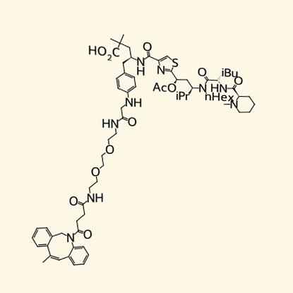 CCCCCCN(C(=O)[C@@H](NC(=O)[C@H]1CCCCN1C)[C@@H](C)CC)[C@H](C[C@@H](OC(C)=O)c1nc(C(=O)N[C@@H](Cc2ccc(NCC(=O)NCCOCCOCCNC(=O)CCC(=O)N3Cc4ccccc4/C(C)=C\c4ccccc43)cc2)CC(C)(C)C(=O)O)cs1)C(C)C